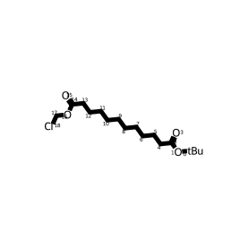 CC(C)(C)OC(=O)CCCCCCCCCCC(=O)OCCl